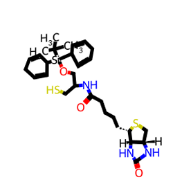 CC(C)(C)[Si](OCC(CS)NC(=O)CCCC[C@@H]1SC[C@@H]2NC(=O)N[C@@H]21)(C1C=CCC=C1)C1C=CCC=C1